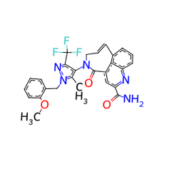 COc1ccccc1Cn1nc(C(F)(F)F)c(N2C/C=C/c3cccc4nc(C(N)=O)cc(c34)C2=O)c1C